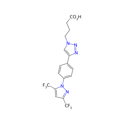 O=C(O)CCCn1cc(-c2ccc(-n3nc(C(F)(F)F)cc3C(F)(F)F)cc2)nn1